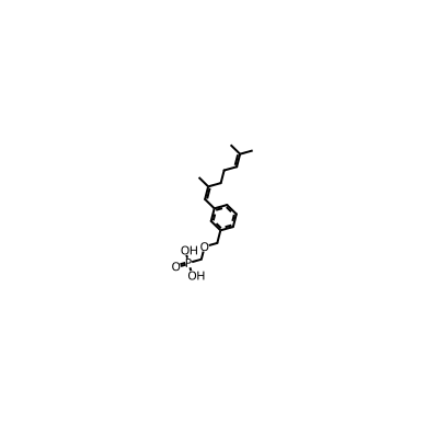 CC(C)=CCCC(C)=Cc1cccc(COCP(=O)(O)O)c1